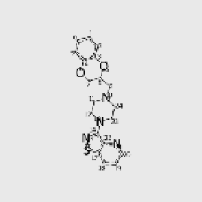 c1ccc2c(c1)OCC(CN1CCN(c3nsc4cccnc34)CC1)O2